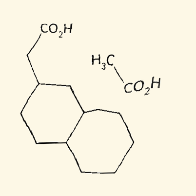 CC(=O)O.O=C(O)CC1CCC2CCCCC2C1